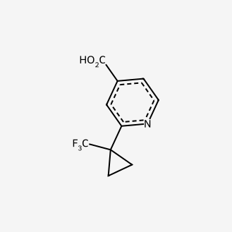 O=C(O)c1ccnc(C2(C(F)(F)F)CC2)c1